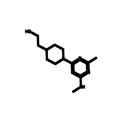 CNc1cc(N2CCN(CCO)CC2)nc(C)n1